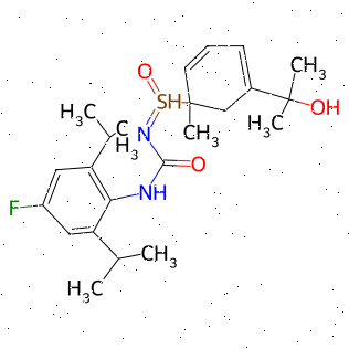 CC(C)c1cc(F)cc(C(C)C)c1NC(=O)/N=[SH](=O)\C1(C)C=CC=C(C(C)(C)O)C1